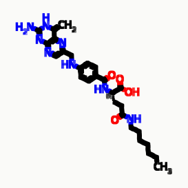 C=C1NC(N)=Nc2ncc(CNc3ccc(C(=O)N[C@@H](CCC(=O)NCCCCCCC)C(=O)O)cc3)nc21